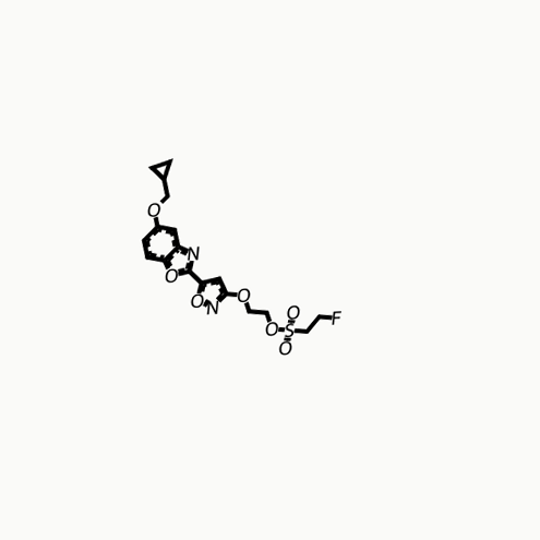 O=S(=O)(CCF)OCCOc1cc(-c2nc3cc(OCC4CC4)ccc3o2)on1